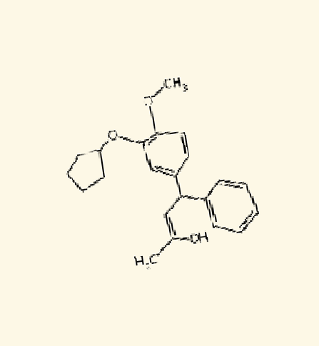 COc1ccc(C(C=C(C)O)c2ccccc2)cc1OC1CCCC1